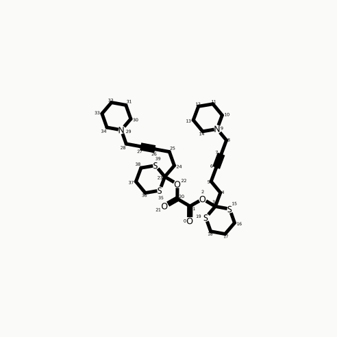 O=C(OC1(CCC#CCN2CCCCC2)SCCCS1)C(=O)OC1(CCC#CCN2CCCCC2)SCCCS1